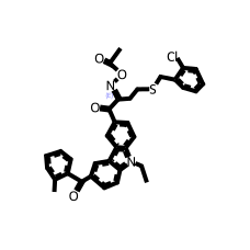 CCn1c2ccc(C(=O)/C(CCSCc3ccccc3Cl)=N/OC(C)=O)cc2c2cc(C(=O)c3ccccc3C)ccc21